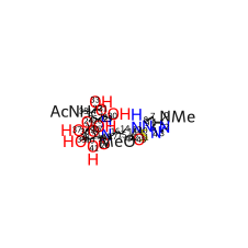 CNc1ncnc2c1ccn2C(=S)N[C@@H](CCCCNC(=O)C1OC(OC2C(O)C(CO)OC(O)C2NC(C)=O)C(O)C(O)C1O)C(=O)OC